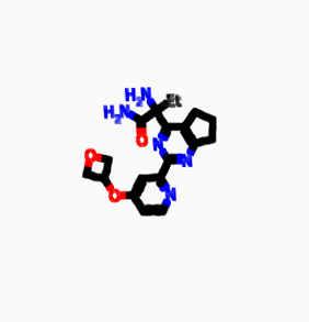 CCC(N)(C(N)=O)c1nc(-c2cc(OC3COC3)ccn2)nc2c1CCC2